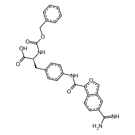 N=C(N)c1ccc2c(C(=O)Nc3ccc(C[C@H](NC(=O)OCc4ccccc4)C(=O)O)cc3)occ2c1